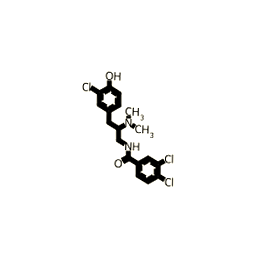 CN(C)C(CNC(=O)c1ccc(Cl)c(Cl)c1)Cc1ccc(O)c(Cl)c1